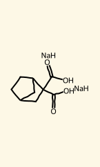 O=C(O)C1(C(=O)O)CC2CCC1C2.[NaH].[NaH]